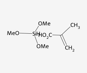 C=C(C)C(=O)O.CO[SiH](OC)OC